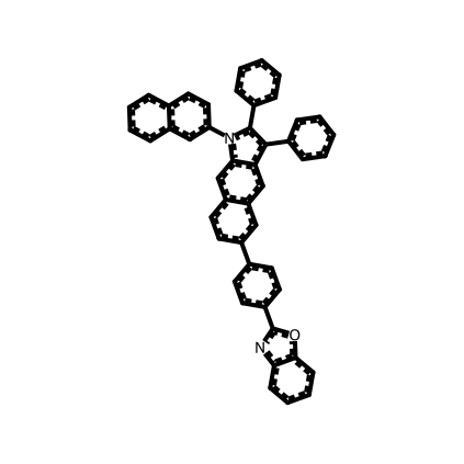 c1ccc(-c2c(-c3ccccc3)n(-c3ccc4ccccc4c3)c3cc4ccc(-c5ccc(-c6nc7ccccc7o6)cc5)cc4cc23)cc1